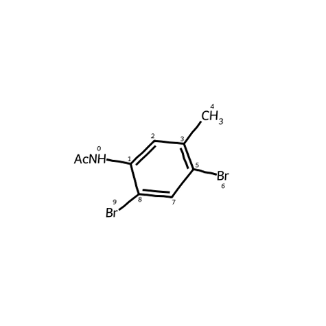 CC(=O)Nc1cc(C)c(Br)cc1Br